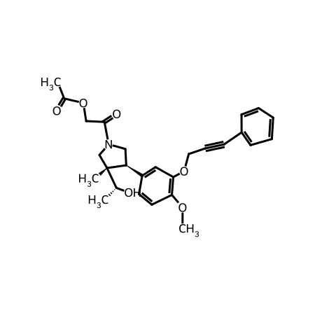 COc1ccc([C@@H]2CN(C(=O)COC(C)=O)C[C@@]2(C)[C@@H](C)O)cc1OCC#Cc1ccccc1